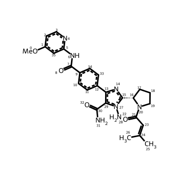 COc1ccnc(NC(=O)c2ccc(-c3nc([C@@H]4CCCN4C(=O)C=C(C)C)n(N)c3C(N)=O)cc2)c1